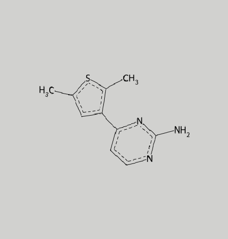 Cc1cc(-c2ccnc(N)n2)c(C)s1